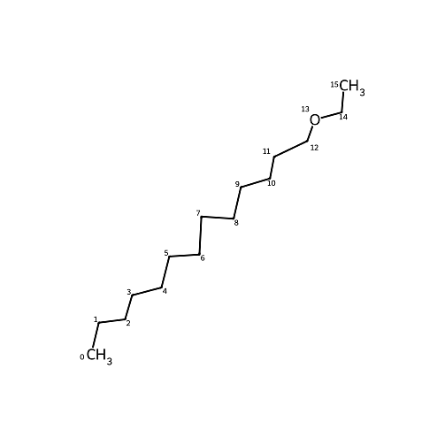 CCCCCCCCCCCCCOCC